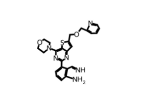 N=Cc1c(N)cccc1-c1nc(N2CCOCC2)c2sc(COCc3ccccn3)cc2n1